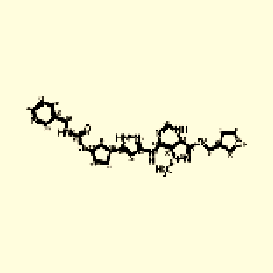 CN1N=C(OCC2CCOC2)C2NC=NC(Nc3cc(C4CCC(OC(=O)NCc5cccnc5)C4)[nH]n3)=C21